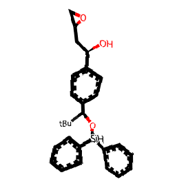 CC(C)(C)C(O[SiH](c1ccccc1)c1ccccc1)c1ccc([C@H](O)CC2CO2)cc1